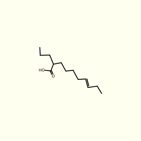 CC/C=C/CCCCC(CCC)C(=O)O